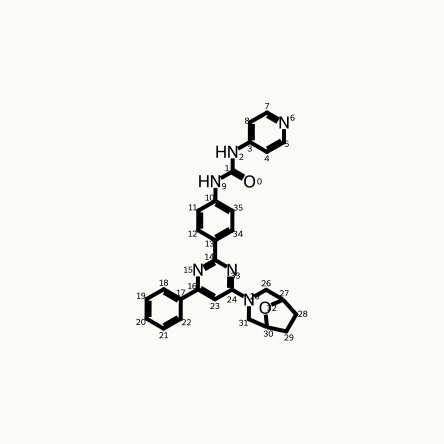 O=C(Nc1ccncc1)Nc1ccc(-c2nc(-c3ccccc3)cc(N3CC4CCC(C3)O4)n2)cc1